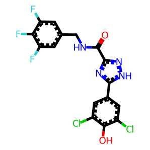 O=C(NCc1cc(F)c(F)c(F)c1)c1n[nH]c(-c2cc(Cl)c(O)c(Cl)c2)n1